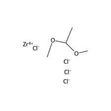 COC(C)OC.[Cl-].[Cl-].[Cl-].[Cl-].[Zr+4]